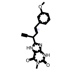 C#CC(/C=C/c1cccc(OC)c1)c1nc2[nH]c(=O)n(C)c(=O)c2[nH]1